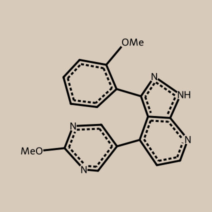 COc1ncc(-c2ccnc3[nH]nc(-c4ccccc4OC)c23)cn1